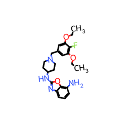 CCOc1cc(CN2CCC(Nc3nc4cccc(N)c4o3)CC2)cc(OCC)c1F